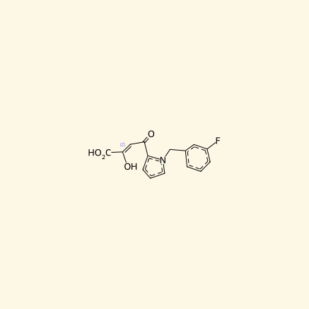 O=C(O)/C(O)=C/C(=O)c1cccn1Cc1cccc(F)c1